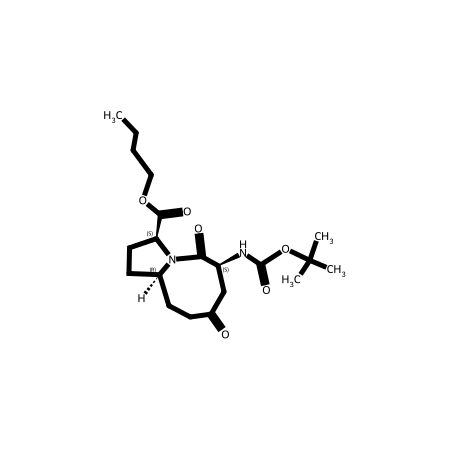 CCCCOC(=O)[C@@H]1CC[C@@H]2CCC(=O)C[C@H](NC(=O)OC(C)(C)C)C(=O)N21